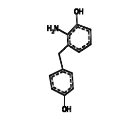 Nc1c(O)cccc1Cc1ccc(O)cc1